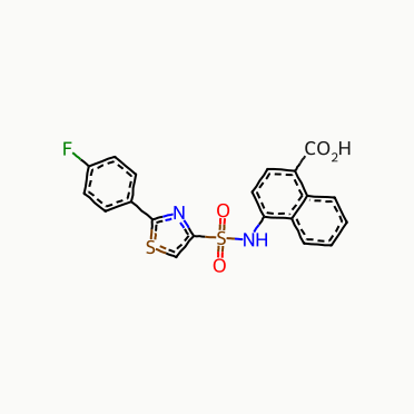 O=C(O)c1ccc(NS(=O)(=O)c2csc(-c3ccc(F)cc3)n2)c2ccccc12